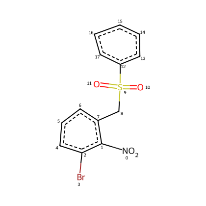 O=[N+]([O-])c1c(Br)cccc1CS(=O)(=O)c1ccccc1